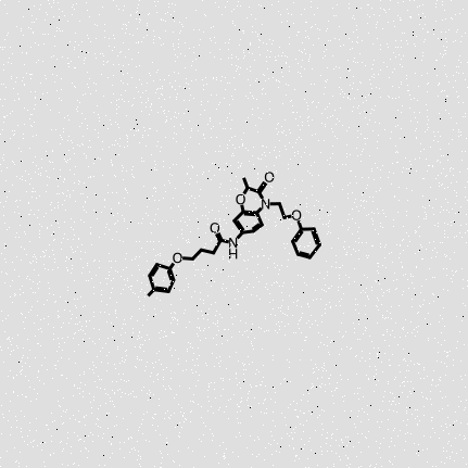 Cc1ccc(OCCCC(=O)Nc2ccc3c(c2)OC(C)C(=O)N3CCOc2ccccc2)cc1